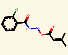 CC(C)=CC(=O)ONNC(=O)c1ccccc1Cl